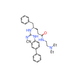 CCN(CC)CCNC(=O)CC[C@H](Cc1ccccc1)N/C(=N/C#N)Nc1ccc(-c2ccccc2)cc1